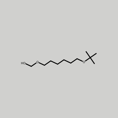 CC(C)(C)OCCCCCCOCO